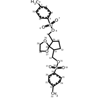 Cc1ccc(S(=O)(=O)OCC2CCC(COS(=O)(=O)c3ccc(C)cc3)C23OCCO3)cc1